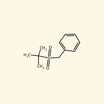 CC(C)(C)S(=O)(=O)Cc1ccccc1